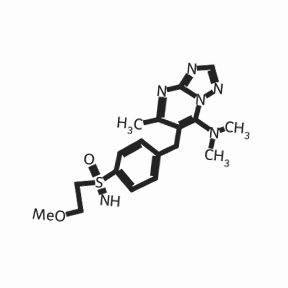 COCCS(=N)(=O)c1ccc(Cc2c(C)nc3ncnn3c2N(C)C)cc1